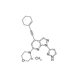 C[C@@H]1COCCN1c1cc(C#CC2=CCCCC2)c2cnn(-c3cc[nH]n3)c2n1